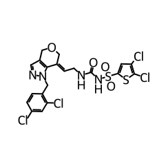 O=C(NCC=C1COCc2cnn(Cc3ccc(Cl)cc3Cl)c21)NS(=O)(=O)c1cc(Cl)c(Cl)s1